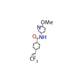 COc1ccc(NC(=O)c2ccc(/C=C/C(F)(F)F)cc2)cn1